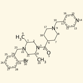 CC1CN(C(=O)C2CCN(Cc3ccncc3)CC2)C(C)CN1Cc1ccccc1Br